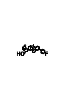 C[C@@H](c1ccc(-c2ccc(F)cc2)cc1)N1CCC(CCCO)(c2cccs2)CC1=O